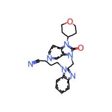 N#CCCCn1c(Cn2c(=O)n(C3CCOCC3)c3ccncc32)nc2ccccc21